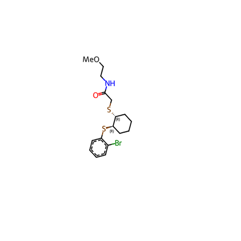 COCCNC(=O)CS[C@@H]1CCCC[C@H]1Sc1ccccc1Br